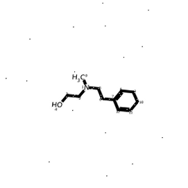 CN(CCO)CCC1=CC[CH]C=C1